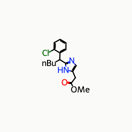 CCCCC(c1ncc(CC(=O)OC)[nH]1)c1ccccc1Cl